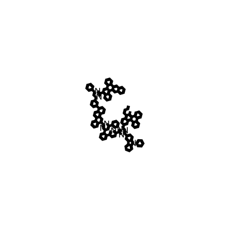 C=C/C=C\c1c(C)c2c3ccccc3c3ccccc3c2c2cc(-c3nc(-c4ccc5c(c4)c4ccccc4n5-c4ccccc4)nc(-c4ccc(-c5ccccc5-c5cc(-c6ccccc6)nc(-c6cc7c8cccc(-c9cccc(-c%10cc(-c%11ccccc%11)nc(-c%11cc%12c%13ccccc%13c%13cc%14ccccc%14cc%13c%12c%12ccccc%11%12)n%10)c9)c8ccc7c7ccccc67)n5)cn4)n3)ccc12